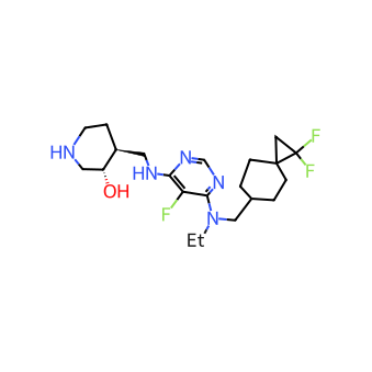 CCN(CC1CCC2(CC1)CC2(F)F)c1ncnc(NC[C@@H]2CCNC[C@H]2O)c1F